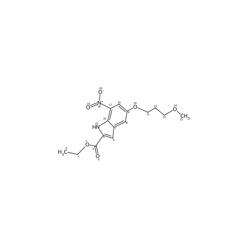 CCOC(=O)c1cc2cc(OCCCOC)cc([N+](=O)[O-])c2[nH]1